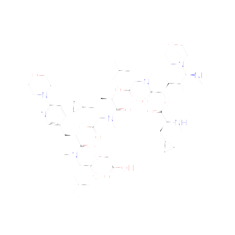 CN[C@@H](CC1CC1)C(=O)O[C@H](CC(C)[C@H](NC)N1CCOCC1)C(=O)N(C)[C@@H](CC(C)C)C(=O)O[C@H](C)C(=O)N(C)[C@@H](CC1CC1)C(=O)O[C@H](Cc1ccc(N2CCOCC2)nc1)C(=O)N(C)[C@@H](CC(C)C)C(=O)O[C@H](C)C(=O)O